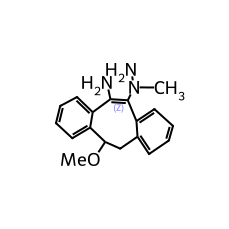 COC1Cc2ccccc2/C(N(C)N)=C(/N)c2ccccc21